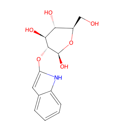 OC[C@H]1O[C@@H](O)[C@H](Oc2cc3ccccc3[nH]2)[C@@H](O)[C@@H]1O